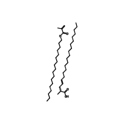 C=C(C)C(=O)OCCCCCCCCCCCCCCCCCC.CCCCCCCCCCCCCCCCC=CC=C(C)C(=O)O